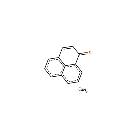 S=C1C=Cc2cccc3cccc1c23.[CaH2]